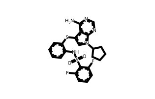 Nc1ncnc2c1c(Sc1ccccc1NS(=O)(=O)c1c(F)cccc1F)cn2C1CCCC1